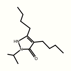 CCCCc1[nH]n(C(C)C)c(=O)c1CCCC